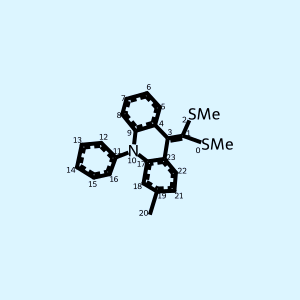 CSC(SC)=C1c2ccccc2N(c2ccccc2)c2cc(C)ccc21